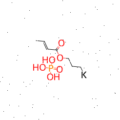 CC=CC(=O)OCC[CH2][K].O=P(O)(O)O